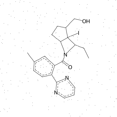 CCC1N(C(=O)c2cc(C)ccc2-c2ncccn2)C2CCC(CO)C12I